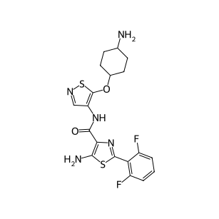 Nc1sc(-c2c(F)cccc2F)nc1C(=O)Nc1cnsc1OC1CCC(N)CC1